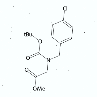 COC(=O)CN(Cc1ccc(Cl)cc1)C(=O)OC(C)(C)C